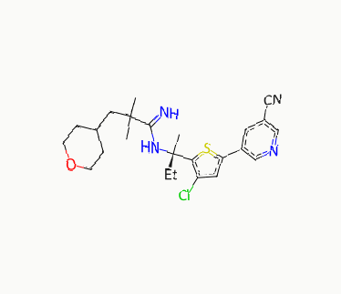 CC[C@](C)(NC(=N)C(C)(C)CC1CCOCC1)c1sc(-c2cncc(C#N)c2)cc1Cl